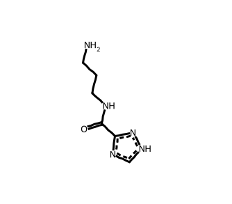 NCCCNC(=O)c1nc[nH]n1